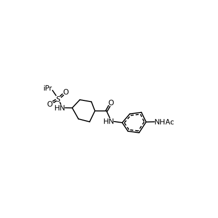 CC(=O)Nc1ccc(NC(=O)C2CCC(NS(=O)(=O)C(C)C)CC2)cc1